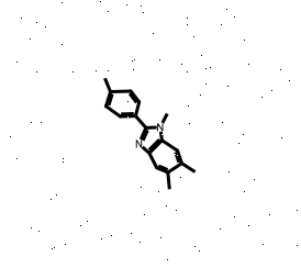 Cc1ccc(-c2nc3cc(C)c(C)cc3n2C)cc1